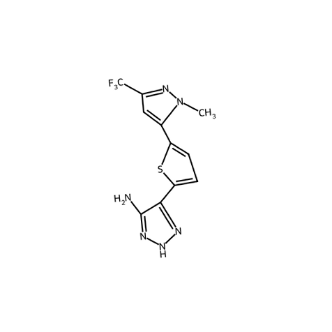 Cn1nc(C(F)(F)F)cc1-c1ccc(-c2n[nH]nc2N)s1